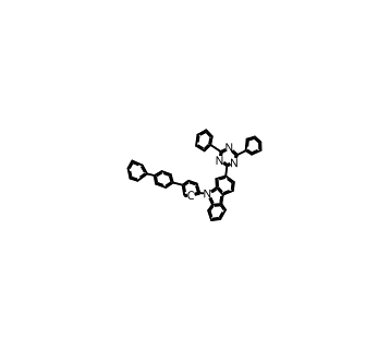 c1ccc(-c2ccc(-c3ccc(-n4c5ccccc5c5ccc(-c6nc(-c7ccccc7)nc(-c7ccccc7)n6)cc54)cc3)cc2)cc1